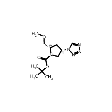 CC(C)(C)OC(=O)N1C[C@@H](n2cnnn2)C[C@H]1CON